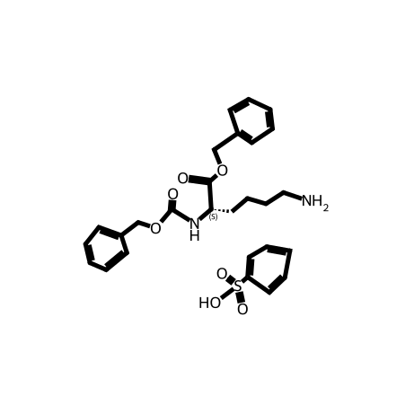 NCCCC[C@H](NC(=O)OCc1ccccc1)C(=O)OCc1ccccc1.O=S(=O)(O)c1ccccc1